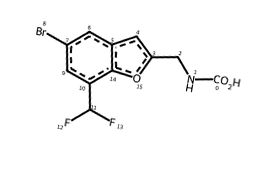 O=C(O)NCc1cc2cc(Br)cc(C(F)F)c2o1